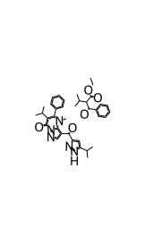 CC(C)c1cc(C(=O)c2cnn3c(=O)c(C(C)C)c(-c4ccccc4)n(C)c23)n[nH]1.CCOC(=O)C(C(=O)c1ccccc1)C(C)C